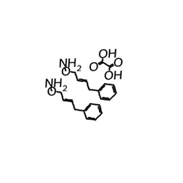 NOCC=CCc1ccccc1.NOCC=CCc1ccccc1.O=C(O)C(=O)O